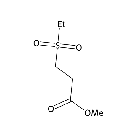 CCS(=O)(=O)CCC(=O)OC